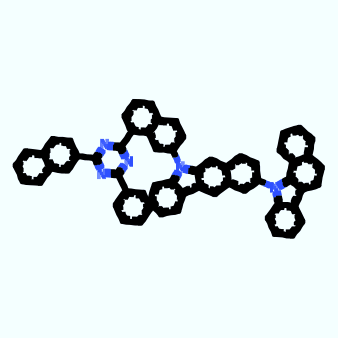 c1ccc(-c2nc(-c3ccc4ccccc4c3)nc(-c3cccc4ccc(-n5c6ccccc6c6cc7cc(-n8c9ccccc9c9ccc%10ccccc%10c98)ccc7cc65)cc34)n2)cc1